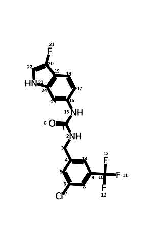 O=C(NCc1cc(Cl)cc(C(F)(F)F)c1)Nc1ccc2c(F)c[nH]c2c1